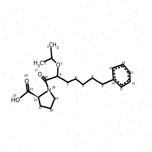 CC(C)OC(CCCCCc1ccccc1)C(=O)N1CCC[C@H]1C(=O)O